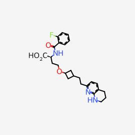 O=C(N[C@@H](CCOC1CC(CCc2ccc3c(n2)NCCC3)C1)C(=O)O)c1ccccc1F